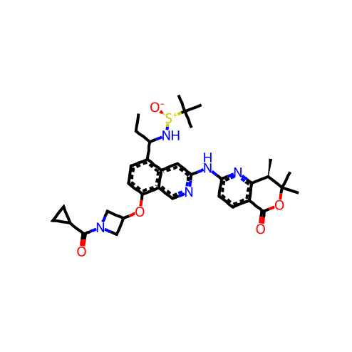 CCC(N[S@@+]([O-])C(C)(C)C)c1ccc(OC2CN(C(=O)C3CC3)C2)c2cnc(Nc3ccc4c(n3)[C@@H](C)C(C)(C)OC4=O)cc12